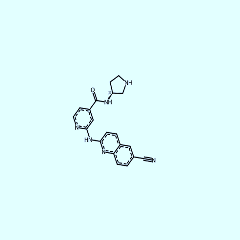 N#Cc1ccc2nc(Nc3cc(C(=O)N[C@H]4CCNC4)ccn3)ccc2c1